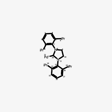 CC(C)c1cccc(C(C)C)c1N1CCN(c2c(C(C)C)cccc2C(C)C)[CH]1[Pd+]